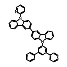 c1ccc(-c2cc(-c3ccccc3)cc(-n3c4ccccc4c4cc(-c5ccc6c(c5)c5ccccc5n6-c5ccccn5)ccc43)c2)cc1